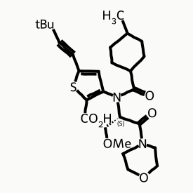 COC[C@@H](C(=O)N1CCOCC1)N(C(=O)C1CCC(C)CC1)c1cc(C#CC(C)(C)C)sc1C(=O)O